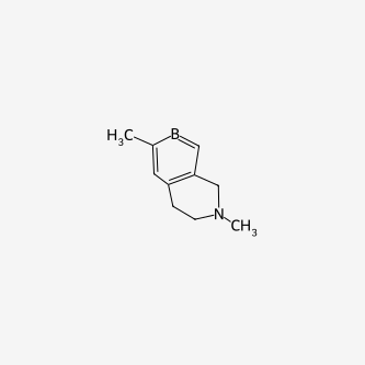 Cc1bcc2c(c1)CCN(C)C2